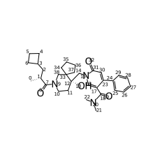 C[C@H](CC1CCC1)C(=O)N1CC[C@](O)(Cn2cc(C(=O)N(C)C)c(-c3ccccc3)cc2=O)C2(CCCC2)C1